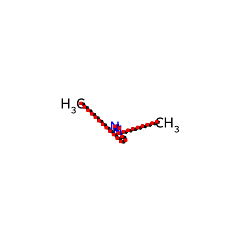 CCCCCCCCCCCCCCCCCCCC(Cc1ccccc1)C(CCCCCCCCCCCCCCCCC)n1ccnc1